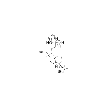 [2H]C([2H])([2H])C(O)(CCC[C@](C)(CC#C)[C@H]1CC[C@H]2[C@@H](O[Si](C)(C)C(C)(C)C)CCC[C@]12C)C([2H])([2H])[2H]